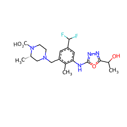 Cc1c(CN2CCN(C(=O)O)[C@@H](C)C2)cc(C(F)F)cc1Nc1nnc(C(C)O)o1